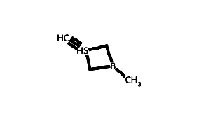 C#[SH]1CB(C)C1